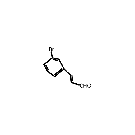 O=C/C=C/c1cccc(Br)c1